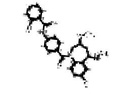 CNC1CC(OC)CN(C(=O)c2ccc(NC(=O)c3ccccc3Cl)cc2)c2ccc(Cl)cc21